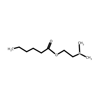 CCCCCC(=O)OCCN(C)C